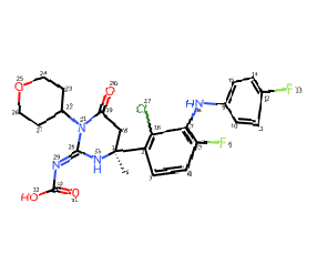 C[C@@]1(c2ccc(F)c(Nc3ccc(F)cc3)c2Cl)CC(=O)N(C2CCOCC2)/C(=N/C(=O)O)N1